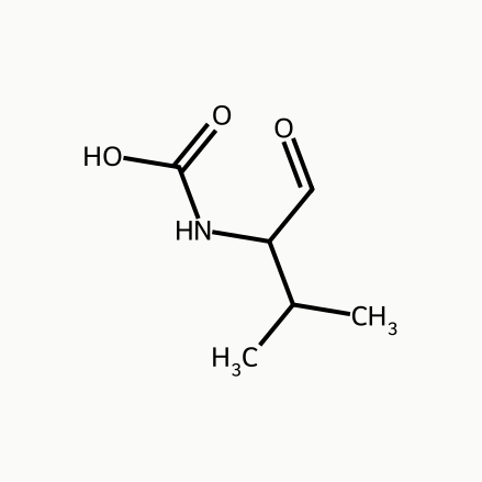 CC(C)C(C=O)NC(=O)O